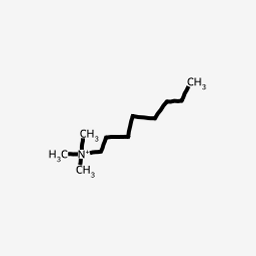 CCCCCCCC[N+](C)(C)C